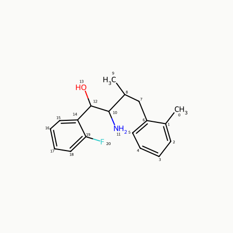 Cc1ccccc1CC(C)C(N)C(O)c1ccccc1F